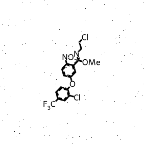 COC(=NCCCl)c1cc(Oc2ccc(C(F)(F)F)cc2Cl)ccc1[N+](=O)[O-]